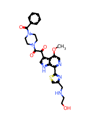 COc1cnc(-c2nc(CNCCO)cs2)c2[nH]cc(C(=O)C(=O)N3CCN(C(=O)c4ccccc4)CC3)c12